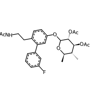 CC(=O)NCCc1ccc(OC2O[C@H](C)[C@@H](C)[C@H](OC(C)=O)[C@H]2OC(C)=O)cc1-c1cccc(F)c1